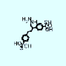 NNCC(CCc1ccc(P(=O)(O)O)cc1)c1ccc(P(=O)(O)O)cc1